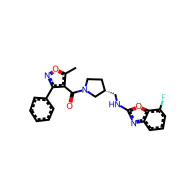 Cc1onc(-c2ccccc2)c1C(=O)N1CC[C@H](CNc2nc3cccc(F)c3o2)C1